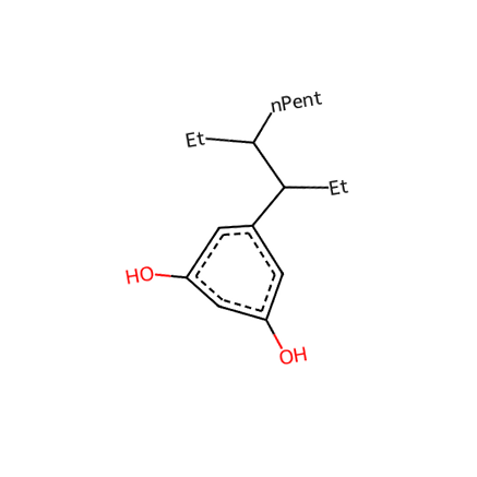 CCCCCC(CC)C(CC)c1cc(O)cc(O)c1